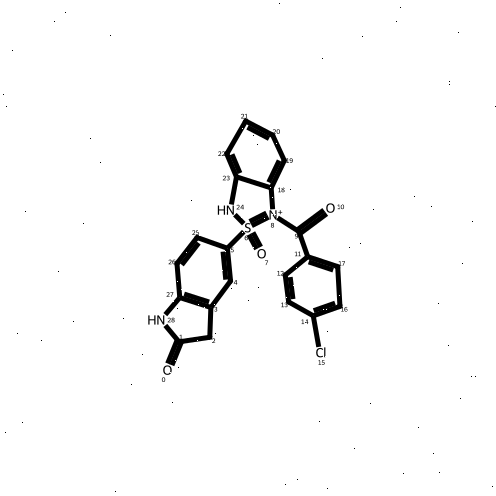 O=C1Cc2cc(S3(=O)=[N+](C(=O)c4ccc(Cl)cc4)c4ccccc4N3)ccc2N1